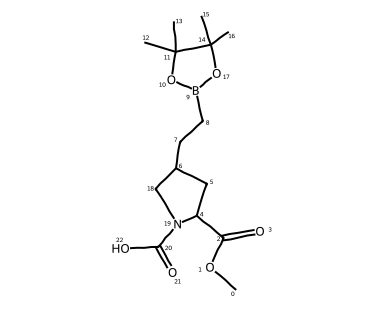 COC(=O)C1CC(CCB2OC(C)(C)C(C)(C)O2)CN1C(=O)O